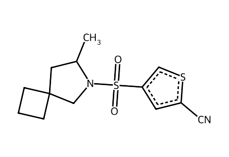 CC1CC2(CCC2)CN1S(=O)(=O)c1csc(C#N)c1